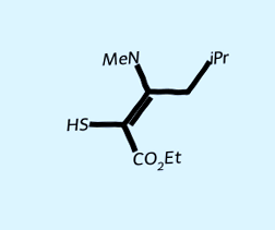 CCOC(=O)C(S)=C(CC(C)C)NC